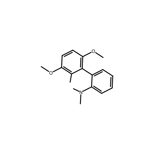 COc1ccc(OC)c(-c2ccccc2N(C)C)c1C